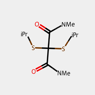 CNC(=O)C(SC(C)C)(SC(C)C)C(=O)NC